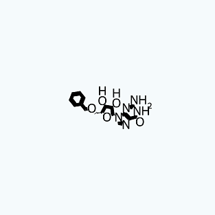 Nc1nc2c(ncn2[C@@H]2O[C@H](COCc3ccccc3)[C@@H](O)[C@H]2O)c(=O)[nH]1